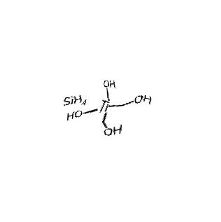 [OH][Ti]([OH])([OH])[OH].[SiH4]